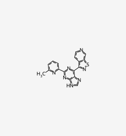 Cc1cccc(-c2nc(-c3nsc4cnccc34)c3nc[nH]c3n2)n1